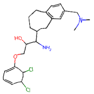 CN(C)Cc1ccc2c(c1)CC(C(N)C(O)COC1=CC=CC(Cl)C1Cl)CCC2